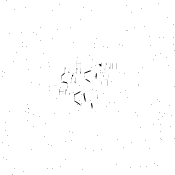 Cc1ccc(Nc2ncc(F)c(Nc3ccc4c(c3)CCCC4=O)n2)cc1S(N)(=O)=O